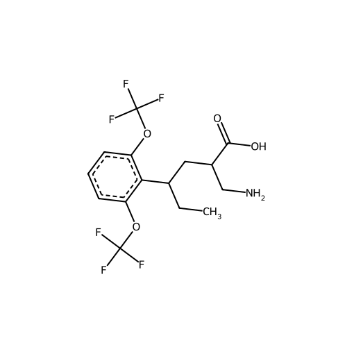 CCC(CC(CN)C(=O)O)c1c(OC(F)(F)F)cccc1OC(F)(F)F